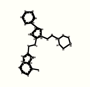 Cc1cccn2nc(CSc3nc(-c4ccccc4)cn3CCN3CCOCC3)nc12